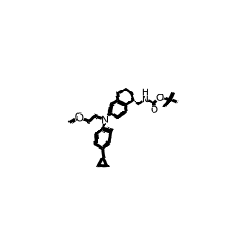 COCCN(c1ccc(C2CC2)cc1)c1ccc2c(c1)CCC[C@H]2CNC(=O)OC(C)(C)C